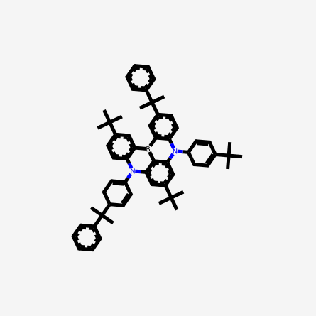 CC(C)(C)C1=CCC(N2c3ccc(C(C)(C)c4ccccc4)cc3B3c4cc(C(C)(C)C)ccc4N(C4=CCC(C(C)(C)c5ccccc5)C=C4)c4cc(C(C)(C)C)cc2c43)C=C1